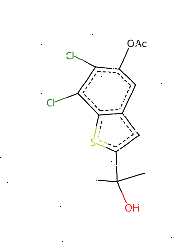 CC(=O)Oc1cc2cc(C(C)(C)O)sc2c(Cl)c1Cl